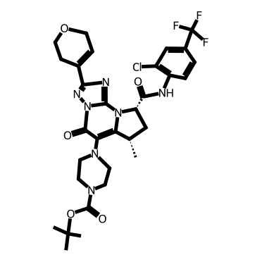 C[C@H]1C[C@@H](C(=O)Nc2ccc(C(F)(F)F)cc2Cl)n2c1c(N1CCN(C(=O)OC(C)(C)C)CC1)c(=O)n1nc(C3=CCOCC3)nc21